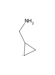 NCC1[CH]C1